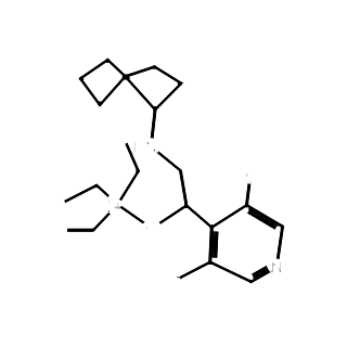 CC[Si](CC)(CC)OC(CNC1CCC12CCC2)c1c(Cl)cncc1Cl